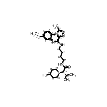 COc1ccc2c(c1)nc(NCCCCNC(=O)[C@H](C(C)C)N1CCC(O)CC1)c1nnc(C)n12